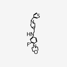 Fc1cc(NCC2C3CN(Cc4ccsc4)CC23)ccc1N1CCOCC1